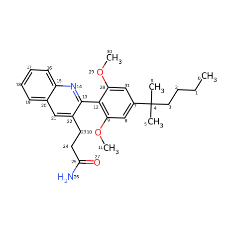 CCCCC(C)(C)c1cc(OC)c(-c2nc3ccccc3cc2CCC(N)=O)c(OC)c1